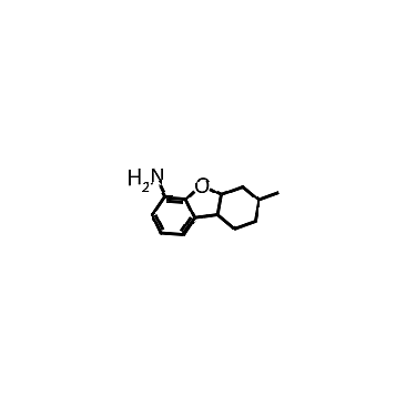 CC1CCC2c3cccc(N)c3OC2C1